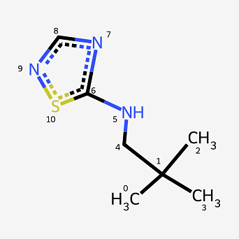 CC(C)(C)CNc1ncns1